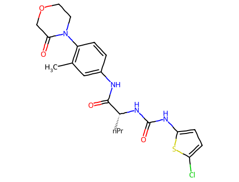 CCC[C@@H](NC(=O)Nc1ccc(Cl)s1)C(=O)Nc1ccc(N2CCOCC2=O)c(C)c1